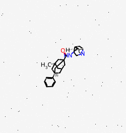 C[C@@]12CC3CC(C(=O)N[C@@H]4CN5CCC4CC5)(C1)C[C@](c1ccccc1)(C3)C2